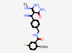 CCN/C(N)=C(\C(=N)c1ccc(CNC(=O)c2cc(F)ccc2OC)cc1)C(N)=O